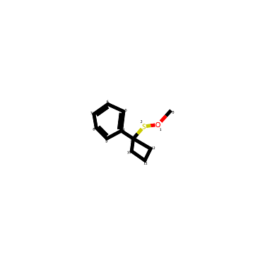 COSC1(c2cc[c]cc2)CCC1